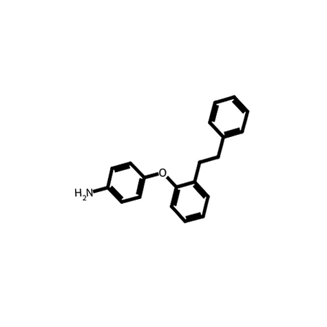 Nc1ccc(Oc2ccccc2CCc2ccccc2)cc1